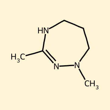 CC1=NN(C)CCCN1